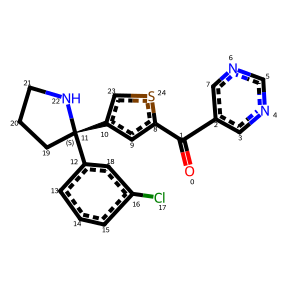 O=C(c1cncnc1)c1cc([C@@]2(c3cccc(Cl)c3)CCCN2)cs1